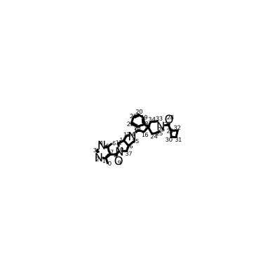 Cc1ncnc(C)c1C(=O)N1CC2CN(CCC3(c4ccccc4)CCN(C(=O)C4CCC4)CC3)CC2C1